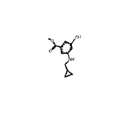 COC(=O)c1cc(O)cc(NCC2CC2)c1